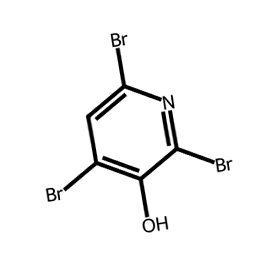 Oc1c(Br)cc(Br)nc1Br